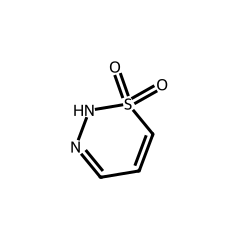 O=S1(=O)C=CC=NN1